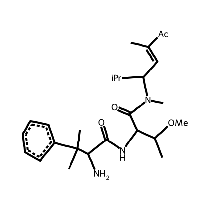 COC(C)C(NC(=O)C(N)C(C)(C)c1ccccc1)C(=O)N(C)C(/C=C(\C)C(C)=O)C(C)C